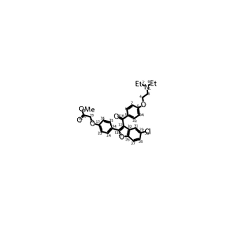 CCN(CC)CCOc1ccc(C(=O)c2c(-c3ccc(OCC(=O)OC)cc3)oc3ccc(Cl)cc23)cc1